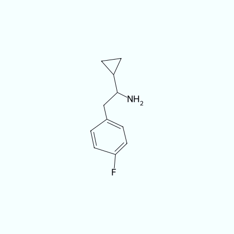 NC(Cc1ccc(F)cc1)C1CC1